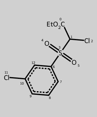 CCOC(=O)C(Cl)S(=O)(=O)c1cccc(Cl)c1